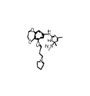 CC1=CC(C)(N)NC(Nc2cc(OCCCN3CCCC3)c3c(c2)OCCO3)=N1